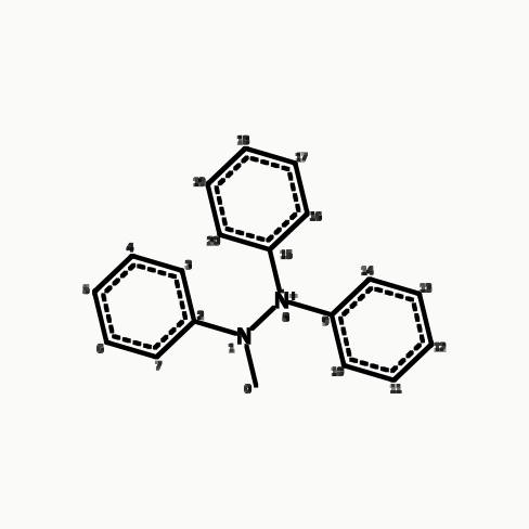 CN(c1ccccc1)[N+](c1ccccc1)c1ccccc1